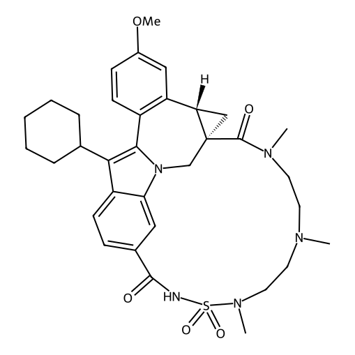 COc1ccc2c(c1)[C@@H]1C[C@]13Cn1c-2c(C2CCCCC2)c2ccc(cc21)C(=O)NS(=O)(=O)N(C)CCN(C)CCN(C)C3=O